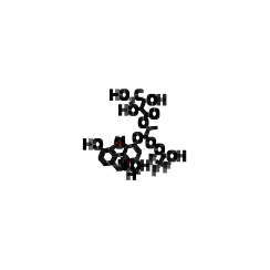 CC(OC(=O)C(O)C(O)C(=O)O)C(=O)OC1=CC[C@@]2(O)[C@H]3Cc4ccc(O)c5c4[C@@]2(CCN3C)[C@H]1O5.O=C(O)C(F)(F)F